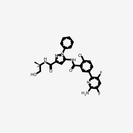 C[C@H](CO)NC(=O)c1cc(NC(=O)c2cc(-c3nc(N)c(F)cc3F)ccc2Cl)n(-c2ccccc2)n1